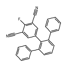 N#Cc1cc(-c2c(-c3ccccc3)cccc2-c2ccccc2)cc(C#N)c1F